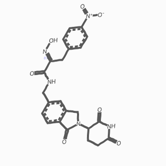 O=C1CCC(N2Cc3cc(CNC(=O)/C(Cc4ccc([N+](=O)[O-])cc4)=N/O)ccc3C2=O)C(=O)N1